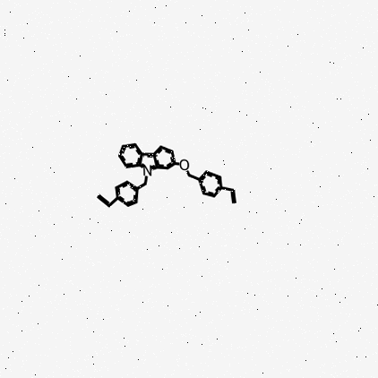 C=Cc1ccc(COc2ccc3c4ccccc4n(Cc4ccc(C=C)cc4)c3c2)cc1